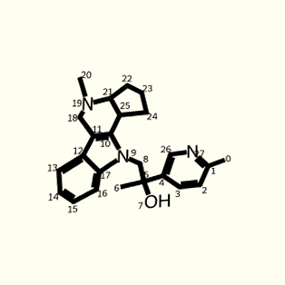 Cc1ccc(C(C)(O)Cn2c3c(c4ccccc42)CN(C)C2CCCC32)cn1